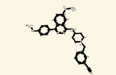 COc1ccc(-c2nnc(NC3CCN(Cc4cccc(C#N)c4)CC3)c3cc(OC)ccc23)cc1